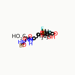 C[C@]12C=CC(=O)C=C1CC[C@H]1[C@@H]3C[C@H]4O[C@@H](c5cccc(Cc6ccc(NC(=O)[C@H](CCC(=O)O)NC(=O)CNC(=O)CBr)cc6)c5)O[C@@]4(C(=O)SCF)[C@@]3(C)C[C@H](O)[C@@]12F